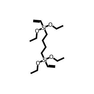 C=C[Si](CCCC[Si](C=C)(OCC)OCC)(OCC)OCC